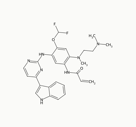 C=CC(=O)Nc1cc(Nc2nccc(-c3c[nH]c4ccccc34)n2)c(OC(F)F)cc1N(C)CCN(C)C